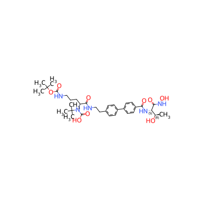 C[C@@H](O)[C@H](NC(=O)c1ccc(-c2ccc(CCNC(=O)C(CCCNC(=O)OC(C)(C)C)N(C(=O)O)C(C)(C)C)cc2)cc1)C(=O)NO